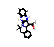 CC1(C)Cc2ccccc2C2C(C(=O)C(F)(F)F)c3nc4ccccc4nc3N21